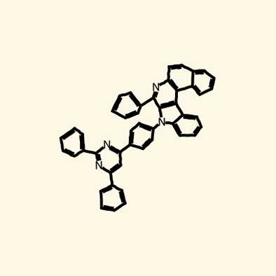 c1ccc(-c2cc(-c3ccc(-n4c5ccccc5c5c6c(ccc7ccccc76)nc(-c6ccccc6)c54)cc3)nc(-c3ccccc3)n2)cc1